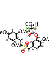 COc1cc(OC)c(/C=C/S(=O)(=O)Cc2ccc(OC)c(OC(=O)C(F)(F)C(=O)O)c2)c(OC)c1